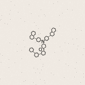 c1ccc(-c2cccc(-c3cccc4c3oc3cc(N(c5ccc(-c6ccc7ccccc7c6)cc5)c5ccc(-c6cccc7ccccc67)cc5)ccc34)c2)cc1